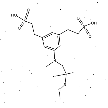 CSSC(C)(C)CN(C)c1cc(CCS(=O)(=O)O)cc(CCS(=O)(=O)O)c1